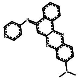 CN(C)c1ccc2nc3c4ccccc4/c(=N/c4ccncc4)cc-3oc2c1